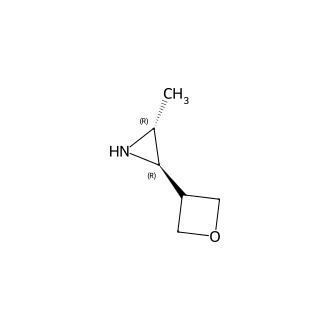 C[C@H]1N[C@@H]1C1COC1